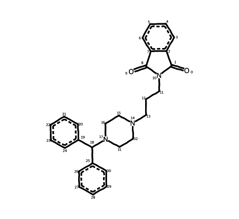 O=C1c2ccccc2C(=O)N1CCCN1CCN(C(c2ccccc2)c2ccccc2)CC1